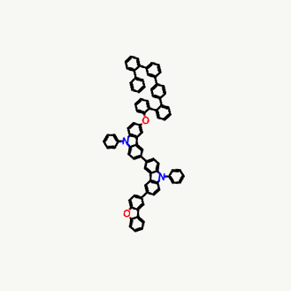 c1ccc(-c2ccccc2-c2cccc(-c3ccc(-c4ccccc4-c4ccccc4Oc4ccc5c(c4)c4cc(-c6ccc7c(c6)c6cc(-c8ccc9oc%10ccccc%10c9c8)ccc6n7-c6ccccc6)ccc4n5-c4ccccc4)cc3)c2)cc1